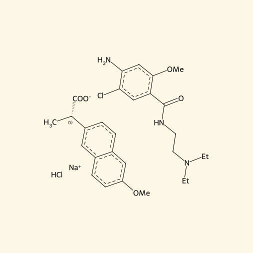 CCN(CC)CCNC(=O)c1cc(Cl)c(N)cc1OC.COc1ccc2cc([C@H](C)C(=O)[O-])ccc2c1.Cl.[Na+]